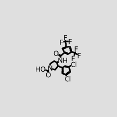 O=C(NC1CCN(C(=O)O)CC1c1cc(Cl)cc(Cl)c1)c1cc(C(F)(F)F)cc(C(F)(F)F)c1